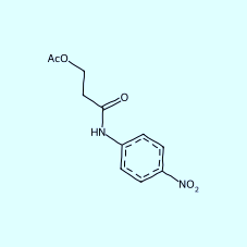 CC(=O)OCCC(=O)Nc1ccc([N+](=O)[O-])cc1